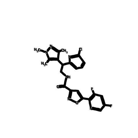 Cc1nn(C)c(C)c1C(CNC(=O)c1cc(-c2ncc(F)cc2F)on1)c1cccc(Cl)n1